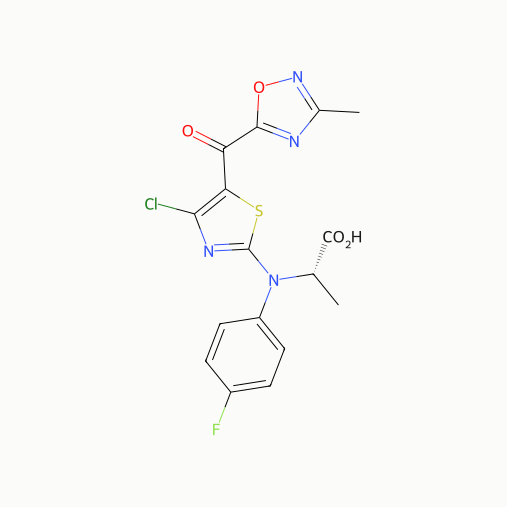 Cc1noc(C(=O)c2sc(N(c3ccc(F)cc3)[C@@H](C)C(=O)O)nc2Cl)n1